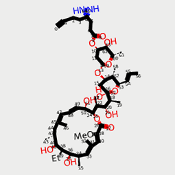 C#CCCC1(CCC(=O)O[C@H]2C[C@@H](O[C@@H]3C[C@](O)([C@@H](C)[C@H](O)[C@H](C)[C@H]4OC(=O)/C(OC)=C/C(C)=C/[C@@H](C)[C@@H](O)[C@@H](CC)[C@@H](O)[C@H](C)C/C(C)=C/C=C/[C@@H]4O)O[C@H](/C=C/C)[C@H]3C)O[C@@H](C)[C@@H]2O)NN1